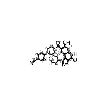 Cc1cc2[nH]c(=O)c3cnn(C4CCOCC4)c3c2cc1C(=O)N1CCN(c2ccc(C#N)cn2)CC1